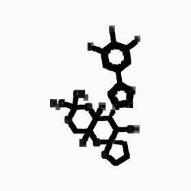 CC1(C)OC[C@H]2O[C@@]3(CCCO3)C(O)[C@@H](n3cc(-c4cc(F)c(F)c(F)c4)nn3)[C@H]2O1